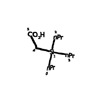 CCC[Si](CCC)(CCC)CC(=O)O